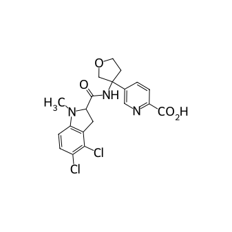 CN1c2ccc(Cl)c(Cl)c2CC1C(=O)NC1(c2ccc(C(=O)O)nc2)CCOC1